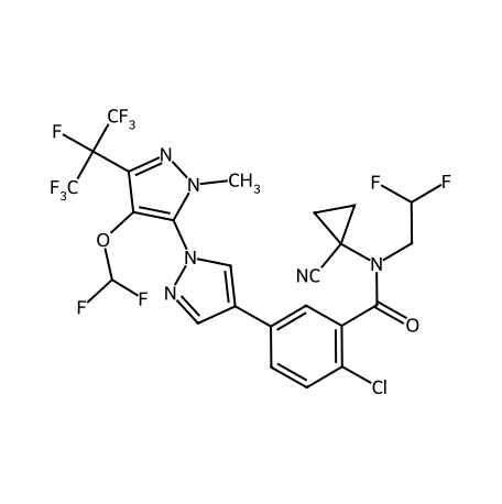 Cn1nc(C(F)(C(F)(F)F)C(F)(F)F)c(OC(F)F)c1-n1cc(-c2ccc(Cl)c(C(=O)N(CC(F)F)C3(C#N)CC3)c2)cn1